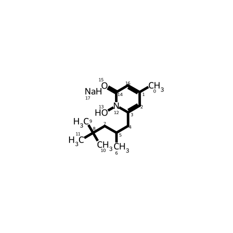 Cc1cc(CC(C)CC(C)(C)C)n(O)c(=O)c1.[NaH]